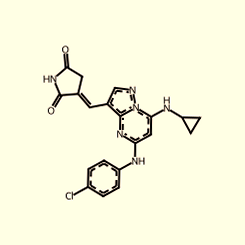 O=C1C/C(=C\c2cnn3c(NC4CC4)cc(Nc4ccc(Cl)cc4)nc23)C(=O)N1